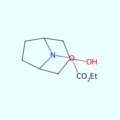 CCOC(=O)ON1C2CCC1CC(O)C2